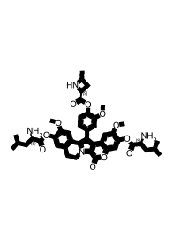 COc1cc(-c2c3n(c4c(=O)oc5cc(OC(=O)[C@@H](N)CC(C)C)c(OC)cc5c24)CCc2cc(OC(=O)[C@@H](N)CC(C)C)c(OC)cc2-3)ccc1OC(=O)[C@@H]1CC(C)N1